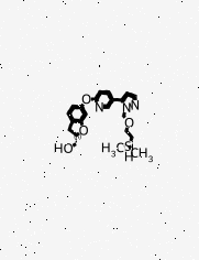 C[SiH](C)CCOCn1nccc1-c1ccc(Oc2ccc3c(c2)O[C@H](CO)C3)nc1